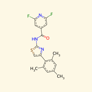 Cc1cc(C)c(-c2csc(NC(=O)c3cc(F)nc(F)c3)n2)c(C)c1